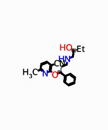 CC[C@@H](O)CNCC[C@@H](Oc1nc(C)ccc1C#N)c1ccccc1